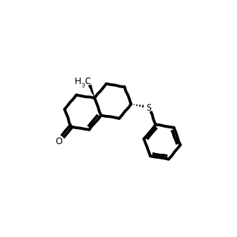 C[C@]12CCC(=O)C=C1C[C@@H](Sc1ccccc1)CC2